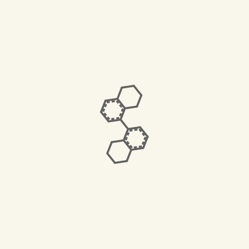 c1cc2c(c(-c3cccc4c3CCCC4)c1)CCCC2